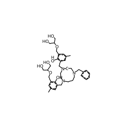 Cc1cc(COC(CO)CO)c(O)c(CN2CCCN(Cc3ccccc3)CCN(Cc3cc(C)cc(COC(CO)CO)c3O)CC2)c1